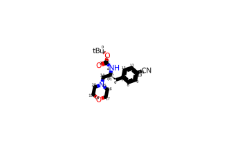 CC(C)(C)OC(=O)N[C@H](Cc1ccc(C#N)cc1)CN1CCOCC1